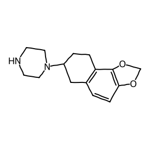 c1cc2c(c3c1CC(N1CCNCC1)CC3)OCO2